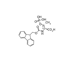 C[C@@H](OP(=O)(O)O)[C@H](NC(=O)OCC1c2ccccc2-c2ccccc21)C(=O)O